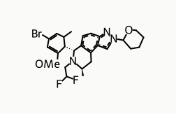 COC1=CC(Br)=CC(C)C1[C@@H]1c2ccc3nn(C4CCCCO4)cc3c2C[C@@H](C)N1CC(F)F